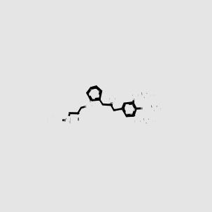 CCCNCC(O)COc1ccccc1CC(=O)Cc1cc(OC)c(OC)c(OC)c1